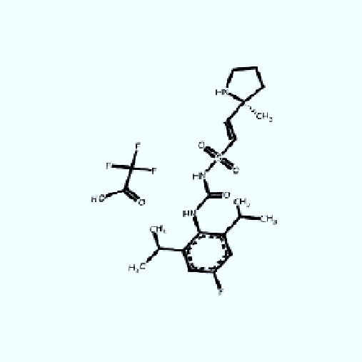 CC(C)c1cc(F)cc(C(C)C)c1NC(=O)NS(=O)(=O)/C=C/[C@]1(C)CCCN1.O=C(O)C(F)(F)F